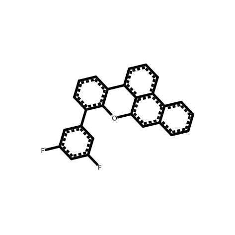 Fc1cc(F)cc(-c2cccc3c2Oc2cc4ccccc4c4cccc-3c24)c1